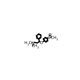 CN(C)CCC(Oc1ccc([S+](C)[O-])cc1)c1ccccc1